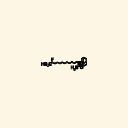 NC(=O)N(CCCCCCCCCCC(F)C(=O)O)C12CC3CC(CC(C3)C1)C2